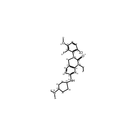 CCN1C(=O)N(c2c(Cl)ccc(OC)c2F)Cc2cnc(NC3CCC(N(C)C)CC3)nc21